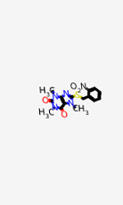 Cn1c(=O)c2c(nc(SCc3ccccc3[N+](=O)[O-])n2C)n(C)c1=O